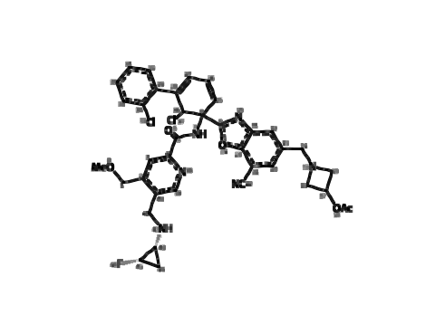 COCc1cc(C(=O)NC2(c3nc4cc(CN5CC(OC(C)=O)C5)cc(C#N)c4o3)C=CC=C(c3ccccc3Cl)C2Cl)ncc1CN[C@@H]1C[C@@H]1F